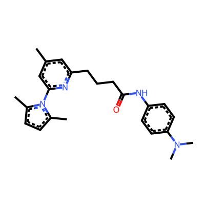 Cc1cc(CCCC(=O)Nc2ccc(N(C)C)cc2)nc(-n2c(C)ccc2C)c1